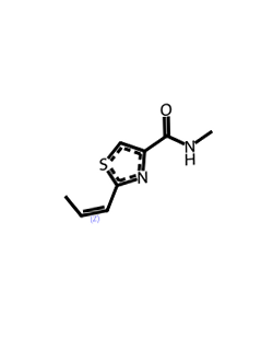 C/C=C\c1nc(C(=O)NC)cs1